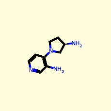 Nc1cnccc1N1CC[C@@H](N)C1